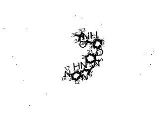 Cc1cc(Nc2c(C#N)cnc3ccc(N(C)C)cc23)ccc1Oc1cccc(C(=O)NC(C)(C)C)c1